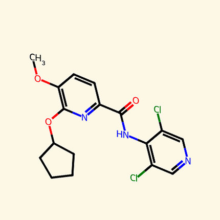 COc1ccc(C(=O)Nc2c(Cl)cncc2Cl)nc1OC1CCCC1